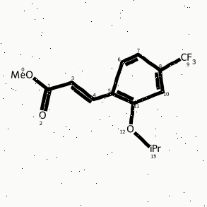 COC(=O)/C=C/c1ccc(C(F)(F)F)cc1OC(C)C